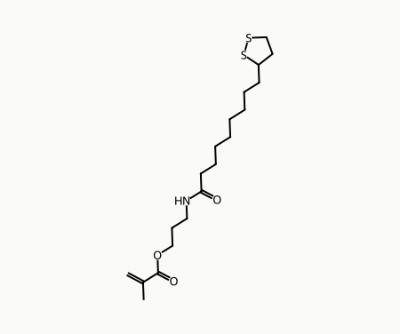 C=C(C)C(=O)OCCCNC(=O)CCCCCCCCC1CCSS1